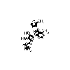 CC1OCCC1Sc1nn([C@@H]2O[C@H](COS(N)(=O)=O)[C@@H](O)[C@H]2O)c2ncnc(N)c12